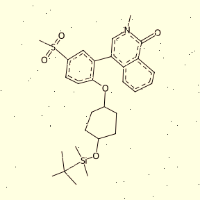 Cn1cc(-c2cc(S(C)(=O)=O)ccc2OC2CCC(O[Si](C)(C)C(C)(C)C)CC2)c2ccccc2c1=O